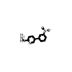 NNc1ccc(-c2cccc([N+](=O)[O-])c2)cn1